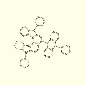 c1ccc(-c2c3ccccc3c(-c3cc4c(c5ccccc5n4-c4ccccc4)c4c3ccc3c4c4ccccc4n3-c3ccccc3)c3ccccc23)cc1